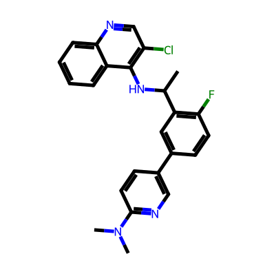 CC(Nc1c(Cl)cnc2ccccc12)c1cc(-c2ccc(N(C)C)nc2)ccc1F